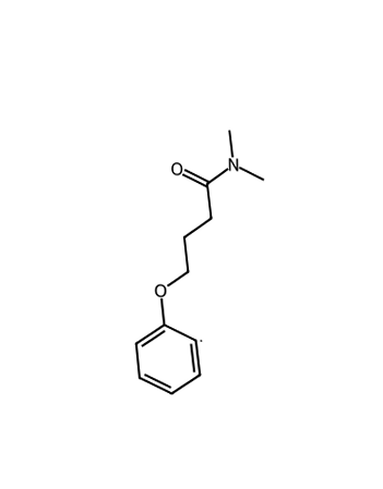 CN(C)C(=O)CCCOc1[c]cccc1